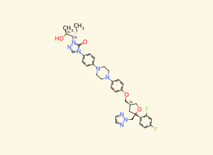 CC[C@@H]([C@H](C)O)n1ncn(-c2ccc(N3CCN(c4ccc(OC[C@H]5CO[C@](Cn6nccn6)(c6ccc(F)cc6F)C5)cc4)CC3)cc2)c1=O